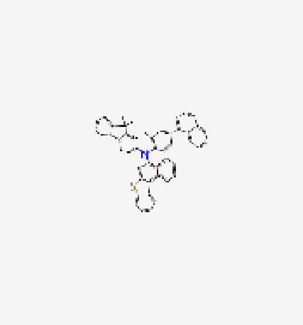 Cc1cc(-c2cccc3ccccc23)cc(-c2ccccc2)c1N(c1ccc2c(c1)C(C)(C)c1ccccc1-2)c1ccc2c(c1)sc1ccccc12